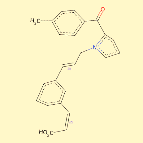 Cc1ccc(C(=O)c2cccn2C/C=C/c2cccc(/C=C\C(=O)O)c2)cc1